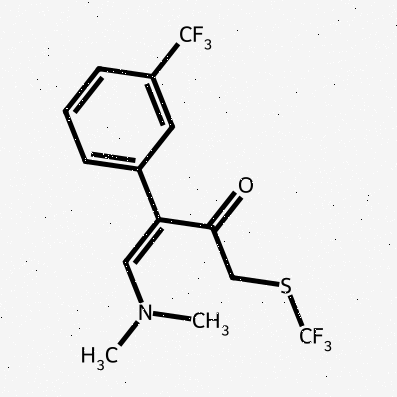 CN(C)C=C(C(=O)CSC(F)(F)F)c1cccc(C(F)(F)F)c1